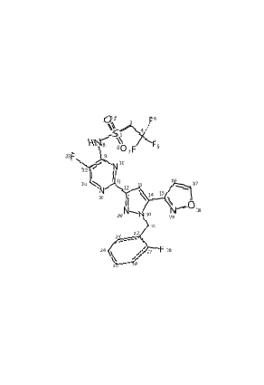 O=S(=O)(CC(F)(F)F)Nc1nc(-c2cc(-c3ccon3)n(Cc3ccccc3F)n2)ncc1F